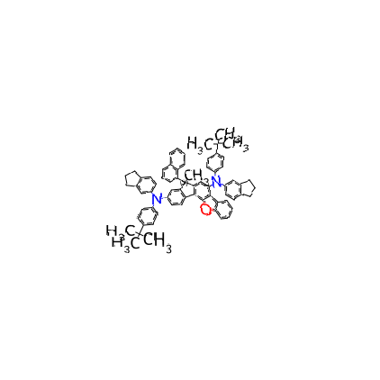 CC(C)(C)c1ccc(N(c2ccc3c(c2)CCC3)c2ccc3c(c2)[C@](C)(c2cccc4ccccc24)c2cc(N(c4ccc(C(C)(C)C)cc4)c4ccc5c(c4)CCC5)c4c(oc5ccccc54)c2-3)cc1